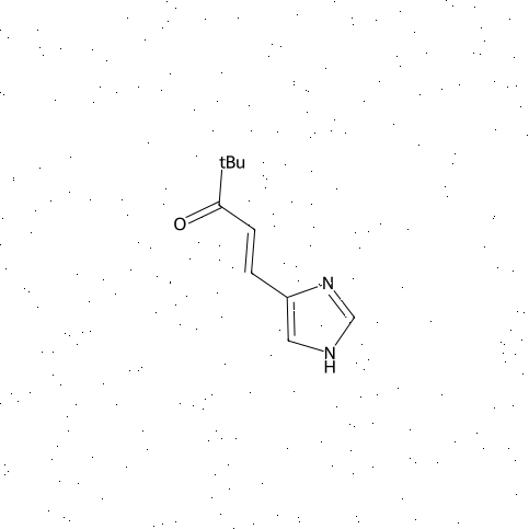 CC(C)(C)C(=O)/C=C/c1c[nH]cn1